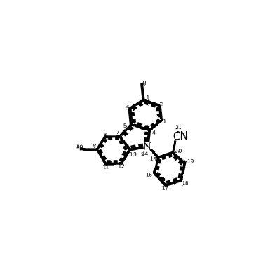 Cc1ccc2c(c1)c1cc(C)ccc1n2-c1ccccc1C#N